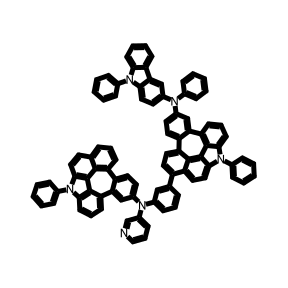 c1ccc(N(c2ccc3c(c2)-c2cccc4c2c2c5c-3ccc(-c3cccc(N(c6cccnc6)c6ccc7c(c6)-c6cccc8c6c6c9c-7cccc9ccc6n8-c6ccccc6)c3)c5ccc2n4-c2ccccc2)c2ccc3c(c2)c2ccccc2n3-c2ccccc2)cc1